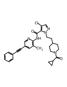 Cc1cc(C#Cc2ccccc2)cnc1NC(=O)c1c(Cl)cnn1CCC1CCN(C(=O)C2CC2)CC1